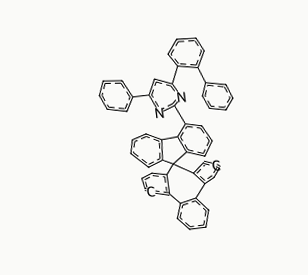 c1ccc(-c2cc(-c3ccccc3-c3ccccc3)nc(-c3cccc4c3-c3ccccc3C43c4ccccc4-c4ccccc4-c4ccccc43)n2)cc1